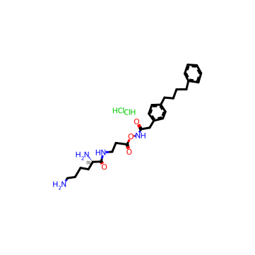 Cl.Cl.NCCCC[C@H](N)C(=O)NCCC(=O)ONC(=O)Cc1ccc(CCCCc2ccccc2)cc1